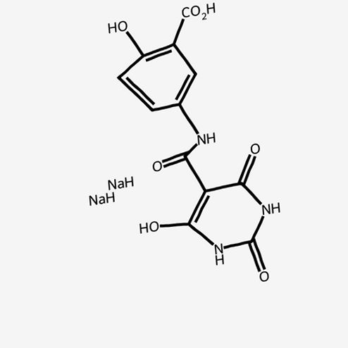 O=C(O)c1cc(NC(=O)c2c(O)[nH]c(=O)[nH]c2=O)ccc1O.[NaH].[NaH]